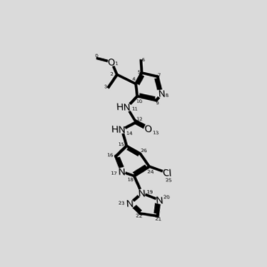 COC(C)c1c(C)cncc1NC(=O)Nc1cnc(-n2nccn2)c(Cl)c1